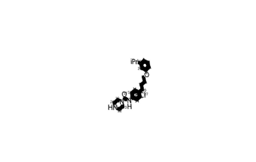 CC(C)c1cccc(OCCCCc2ccc(NC(=O)N3CCNCC3)cc2)c1.Cl